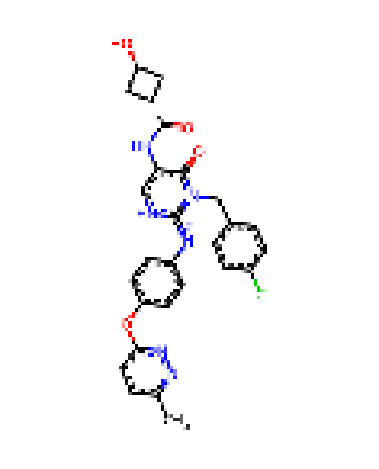 Cc1ccc(Oc2ccc(/N=c3\[nH]cc(NC(=O)[C@H]4C[C@H](O)C4)c(=O)n3Cc3ccc(Cl)cc3)cc2)nn1